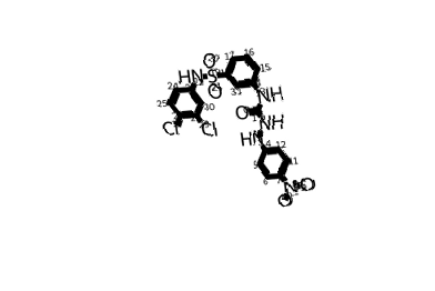 O=C(NNc1ccc([N+](=O)[O-])cc1)Nc1cccc(S(=O)(=O)Nc2ccc(Cl)c(Cl)c2)c1